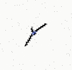 CCCCCCCCCCCCn1cc[n+](CCCCCCCCCCCC)c1CCCC